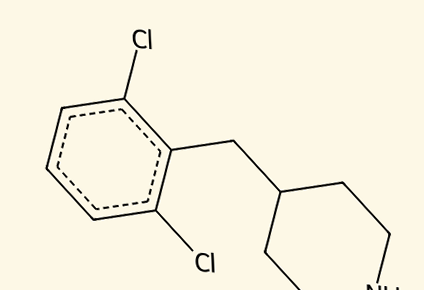 Clc1cccc(Cl)c1CC1CCNCC1